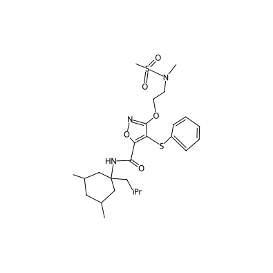 CC(C)CC1(NC(=O)c2onc(OCCN(C)S(C)(=O)=O)c2Sc2ccccc2)CC(C)CC(C)C1